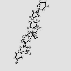 CC(N(Cc1ccc(F)cc1)C(=O)CN1C(=O)O[C@@]2(CCc3cc(-c4ccn(C5CCCCO5)n4)ccc32)C1=O)C(F)(F)F